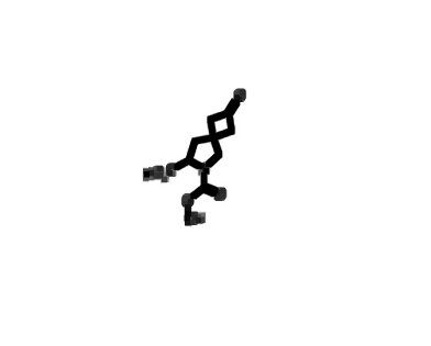 CC(C)(C)OC(=O)N1CC2(CC(=O)C2)CC1C(=O)O